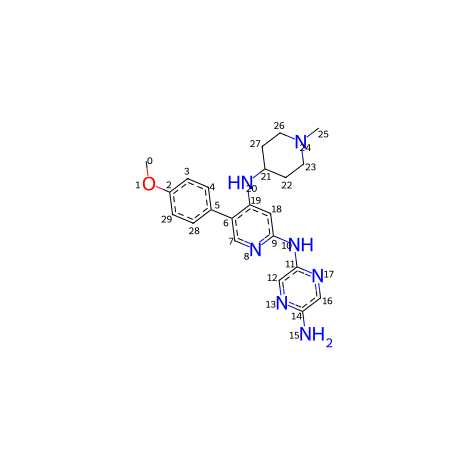 COc1ccc(-c2cnc(Nc3cnc(N)cn3)cc2NC2CCN(C)CC2)cc1